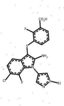 CCn1cc(-n2c(N)c(Sc3cccc(C(=O)O)c3F)c3ccc(Cl)c(F)c32)cn1